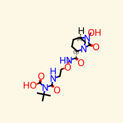 CC(C)(C)N(C(=O)O)C(=O)NCCONC(=O)[C@@H]1CC[C@@H]2CN1C(=O)N2O